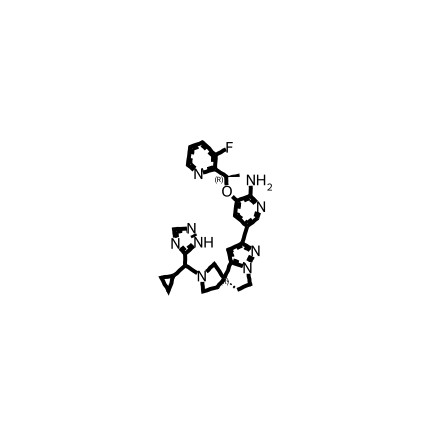 C[C@@H](Oc1cc(-c2cc3n(n2)CC[C@@]32CCN(C(c3ncn[nH]3)C3CC3)C2)cnc1N)c1ncccc1F